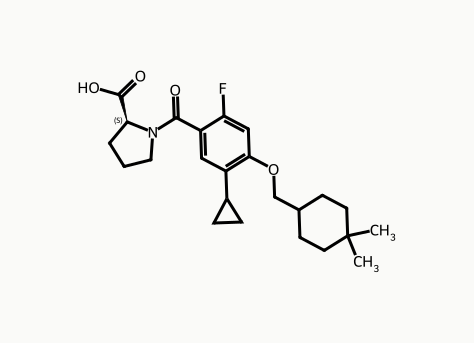 CC1(C)CCC(COc2cc(F)c(C(=O)N3CCC[C@H]3C(=O)O)cc2C2CC2)CC1